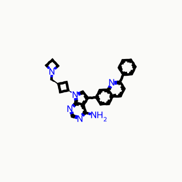 Nc1ncnc2c1c(-c1ccc3ccc(-c4ccccc4)nc3c1)cn2[C@H]1C[C@H](CN2CCC2)C1